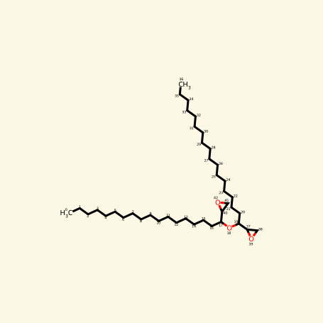 CCCCCCCCCCCCCCCCCC(OC(CCCCCCCCCCCCCCCCC)C1CO1)C1CO1